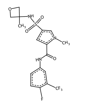 Cn1cc(S(=O)(=O)NC2(C)COC2)cc1C(=O)Nc1ccc(F)c(C(F)(F)F)c1